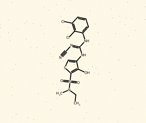 CCN(C)S(=O)(=O)c1scc(NC(=NC#N)Nc2cccc(Cl)c2Cl)c1O